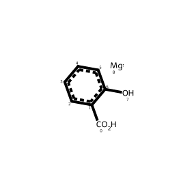 O=C(O)c1ccccc1O.[Mg]